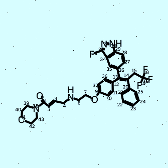 O=C(/C=C/CNCCOc1ccc(/C(=C(/CC(F)(F)F)c2ccccc2)c2ccc3[nH]nc(F)c3c2)cc1)N1CCOCC1